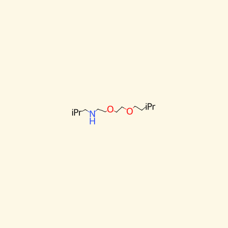 CC(C)CCOCCOCCNCC(C)C